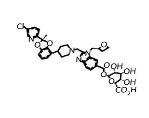 C[C@]1(c2ccc(Cl)cn2)Oc2cccc(C3CCN(Cc4nc5ccc(C(=O)O[C@@H]6O[C@H](C(=O)O)[C@@H](O)[C@H](O)[C@H]6O)cc5n4C[C@@H]4CCO4)CC3)c2O1